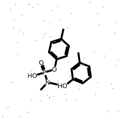 Cc1ccc(OP(=O)(O)N(C)C)cc1.Cc1cccc(O)c1